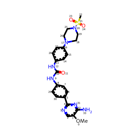 COc1cnc(-c2ccc(NC(=O)Nc3ccc(N4CCN(S(C)(=O)=O)CC4)cc3)cc2)nc1N